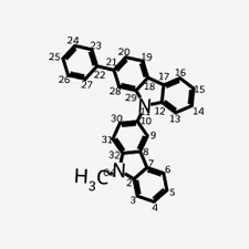 Cn1c2ccccc2c2cc(-n3c4ccccc4c4ccc(-c5ccccc5)cc43)ccc21